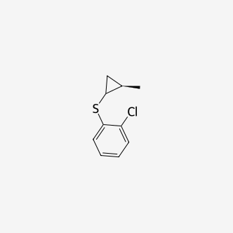 C[C@@H]1CC1Sc1ccccc1Cl